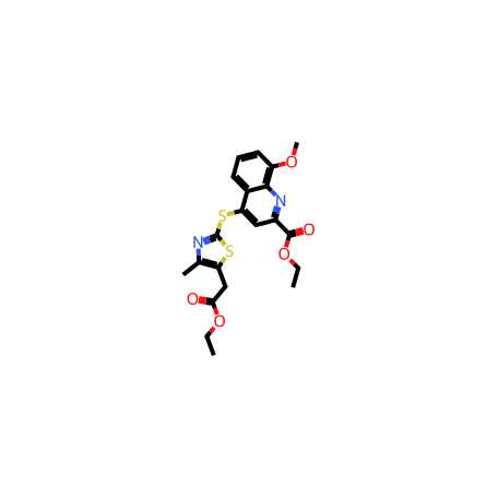 CCOC(=O)Cc1sc(Sc2cc(C(=O)OCC)nc3c(OC)cccc23)nc1C